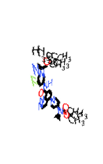 CC(C)(C)OC(=O)N(C1CC1)C1CCN(c2ccc(C(=O)Nc3cc(F)c4ncc(CO[Si](C)(C)C(C)(C)C)n4c3)c3nnccc23)CC1